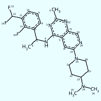 Cc1nc(NC(C)c2cccc(C(F)F)c2F)c2cc(N3CCC(N(C)C)CC3)ncc2n1